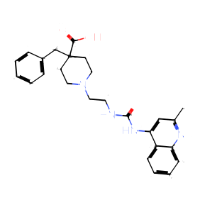 Cc1cc(NC(=O)NCCN2CCC(Cc3ccccc3)(C(=O)O)CC2)c2ccccc2n1